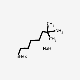 CCCCCCCCCCCC(C)(C)N.[NaH]